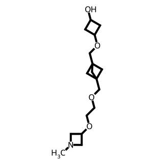 CN1CC(OCCOCC23CC(COC4CC(O)C4)(C2)C3)C1